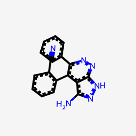 N#Cc1ccccc1-c1c(-c2ccccc2)nnc2[nH]nc(N)c12